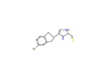 S=CC1NC=C(C2Cc3ccc(Br)cc3C2)N1